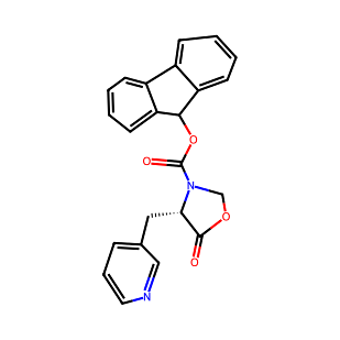 O=C1OCN(C(=O)OC2c3ccccc3-c3ccccc32)[C@H]1Cc1cccnc1